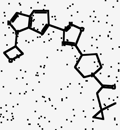 CC1(CC(=O)N2CCC(c3nc(-c4ccc5cnn(C6COC6)c5c4)no3)CC2)CC1